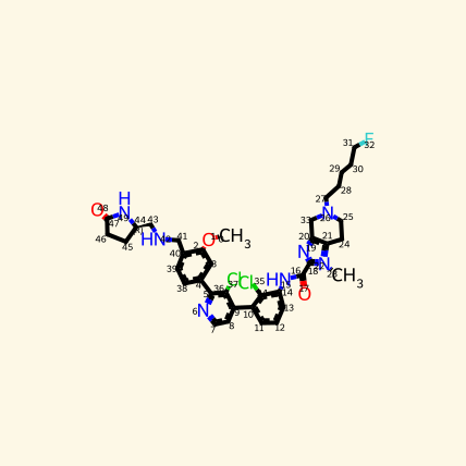 COc1cc(-c2nccc(-c3cccc(NC(=O)c4nc5c(n4C)CCN(CCCCCF)C5)c3Cl)c2Cl)ccc1CNC[C@H]1CCC(=O)N1